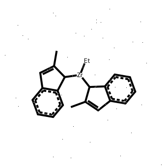 C[CH2][Zr]([CH]1C(C)=Cc2ccccc21)[CH]1C(C)=Cc2ccccc21